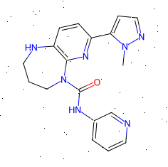 Cn1nccc1-c1ccc2c(n1)N(C(=O)Nc1cccnc1)CCCN2